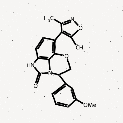 COc1cccc(C2COc3c(-c4c(C)noc4C)ccc4[nH]c(=O)n2c34)c1